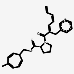 C=C/C=C\C=C(/Cc1cccnc1)C(=O)N1CCC[C@H]1C(=O)NCC1C=CC=C(C)C=C1